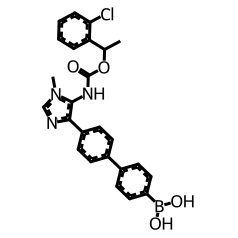 CC(OC(=O)Nc1c(-c2ccc(-c3ccc(B(O)O)cc3)cc2)ncn1C)c1ccccc1Cl